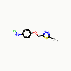 Cc1nnc(COc2ccc(NCl)cc2)s1